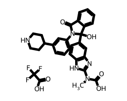 CN(C(=O)O)c1nc2cc(C3(O)c4ccccc4C(=O)N3c3cccc(C4CCNCC4)c3)ccc2[nH]1.O=C(O)C(F)(F)F